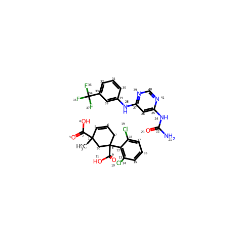 CC1(C(=O)O)C=CCC(C(=O)O)(c2c(Cl)cccc2Cl)C1.NC(=O)Nc1cc(Nc2cccc(C(F)(F)F)c2)ncn1